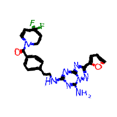 Nc1nc(NCCc2ccc(C(=O)N3CCC(F)(F)CC3)cc2)nc2nc(-c3ccco3)nn12